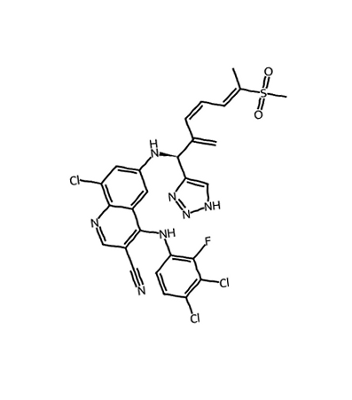 C=C(/C=C\C=C(/C)S(C)(=O)=O)[C@H](Nc1cc(Cl)c2ncc(C#N)c(Nc3ccc(Cl)c(Cl)c3F)c2c1)c1c[nH]nn1